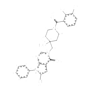 O=C(c1cccc(F)c1F)N1CCC(O)(Cn2cnc3c(cc(Cl)n3-c3ccccc3)c2=O)CC1